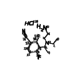 CCN(CCN)C(C)c1c(F)ccc(C#N)c1F.Cl